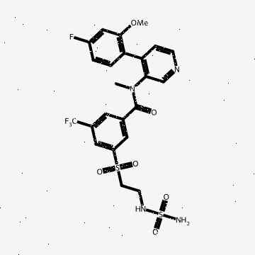 COc1cc(F)ccc1-c1ccncc1N(C)C(=O)c1cc(C(F)(F)F)cc(S(=O)(=O)CCNS(N)(=O)=O)c1